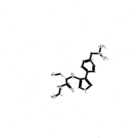 CC(C)C[C@H](Nc1cscc1-c1ccc(CN(C)C)cc1)C(=O)NCC#N